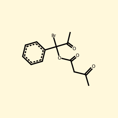 CC(=O)CC(=O)OC(Br)(C(C)=O)c1ccccc1